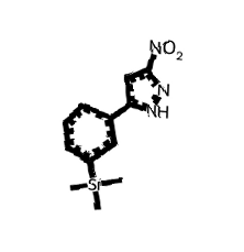 C[Si](C)(C)c1cccc(-c2cc([N+](=O)[O-])n[nH]2)c1